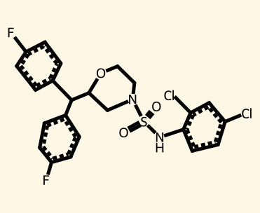 O=S(=O)(Nc1ccc(Cl)cc1Cl)N1CCOC(C(c2ccc(F)cc2)c2ccc(F)cc2)C1